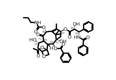 CCCNC(=O)O[C@H]1C(=O)[C@]2(C)[C@@H](O)CC3OC[C@@]3(OC(C)=O)[C@H]2[C@H](OC(=O)c2ccccc2)[C@]2(O)C[C@H](OC(=O)[C@H](O)[C@@H](NC(=O)c3ccccc3)c3ccccc3)C(C)=C1C2(C)C